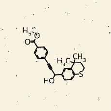 COC(=O)c1ccc(C#CC(O)c2ccc3c(c2)C(C)(C)CCS3)cc1